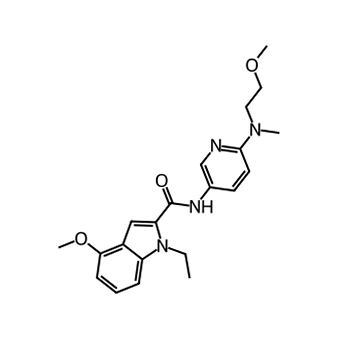 CCn1c(C(=O)Nc2ccc(N(C)CCOC)nc2)cc2c(OC)cccc21